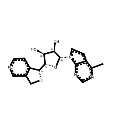 Cc1ncnc2c1ccn2[C@@H]1O[C@H]([C@@H]2OCc3cnccc32)[C@@H](O)[C@H]1O